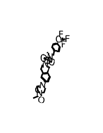 CC(=O)N1CCN(c2ccc3c(c2)CCN(S(=O)(=O)N(C)Cc2ccc(OC(F)(F)F)cc2)C3)CC1